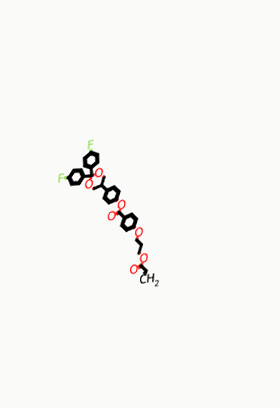 C=CC(=O)OCCCOc1ccc(C(=O)Oc2ccc(C3COC(c4ccc(F)cc4)(c4ccc(F)cc4)OC3)cc2)cc1